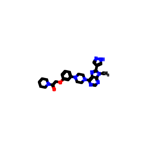 Cn1c(-c2cn[nH]c2)nc2c(N3CCN(c4cccc(OCC(=O)N5CCCCC5)c4)CC3)ncnc21